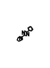 CN1C2CCC1CC(c1cnc(-c3ccccc3)cn1)C2